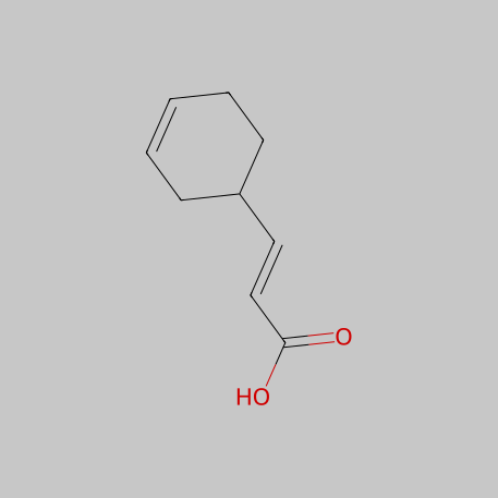 O=C(O)/C=C/C1CC=CCC1